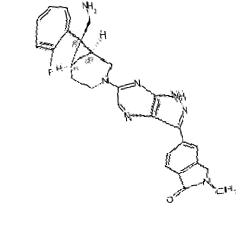 CN1Cc2cc(-c3n[nH]c4nc(N5CC[C@@H]6[C@H](C5)[C@@]6(CN)c5ccccc5F)cnc34)ccc2C1=O